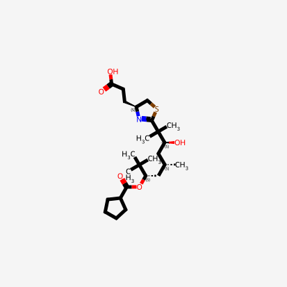 C[C@H](C[C@H](OC(=O)C1CCCC1)C(C)(C)C)C[C@H](O)C(C)(C)C1=N[C@@H](CCC(=O)O)CS1